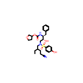 CCC(CCC#N)CN(C[C@@H](O)[C@H](Cc1ccccc1)NC(=O)OC1CCOC1)S(=O)(=O)c1ccc(O)cc1